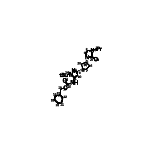 CC(C)n1ccn([C@@H]2CC[C@H](c3cc(NC(=O)OCc4ccccc4)n(C(C)(C)C)n3)C2)c1=O